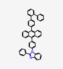 c1ccc(-c2ccccc2-c2ccc(-c3c4ccccc4c(-c4ccc(-n5c(-c6ccccc6)nc6ccccc65)cc4)c4ccccc34)cc2)cc1